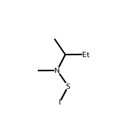 CCC(C)N(C)SI